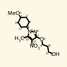 COC1CCC(n2nc(OCCCO)c([N+](=O)[O-])c2C)CC1